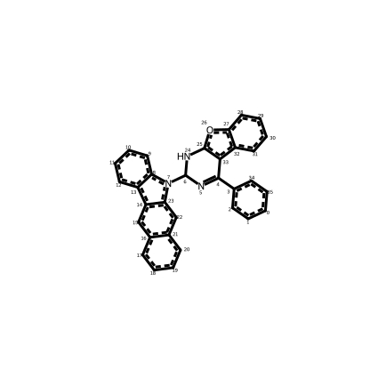 c1ccc(C2=NC(n3c4ccccc4c4cc5ccccc5cc43)Nc3oc4ccccc4c32)cc1